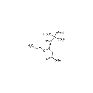 C=CCOC(=O)CC(=O)OCC(C)C.CCCCCC(CCCCC)(C(=O)O)C(=O)O